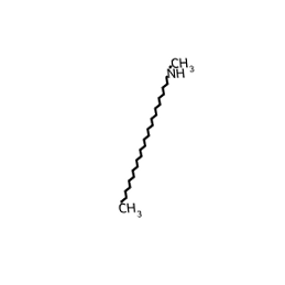 CCCCCCCCCCCCCCCCCCCCCCCCCCNCC